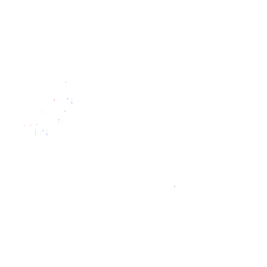 CCCCCCCC/C=C\CCCCCCCCCCCCC(NC=O)[N+](C)(C)C(CCC)(NC=O)C(=O)[O-]